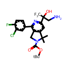 CC(C)(C)OC(=O)N1Cc2c(cc(C(O)(CN)C(F)(F)F)nc2-c2ccc(F)c(Cl)c2)C1(C)C